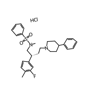 Cc1ccc([C@@H](CCN2CCC(c3ccccc3)CC2)CN(C)S(=O)(=O)c2ccccc2)cc1F.Cl